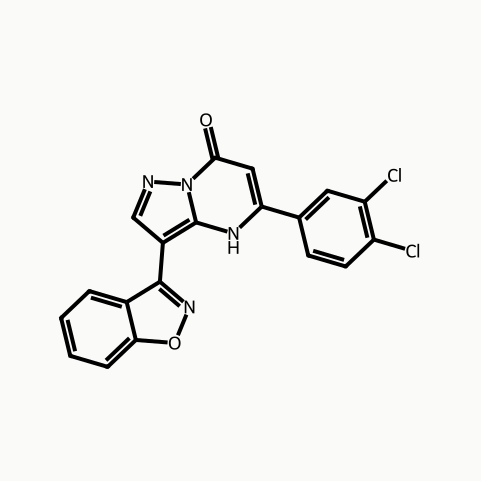 O=c1cc(-c2ccc(Cl)c(Cl)c2)[nH]c2c(-c3noc4ccccc34)cnn12